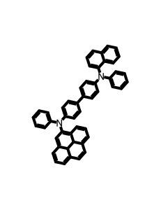 C1=CC2=CC(N(c3ccccc3)c3ccc(-c4ccc(N(c5ccccc5)c5cccc6ccccc56)cc4)cc3)=C3C=CC=C4C=CC(=C1)C2C43